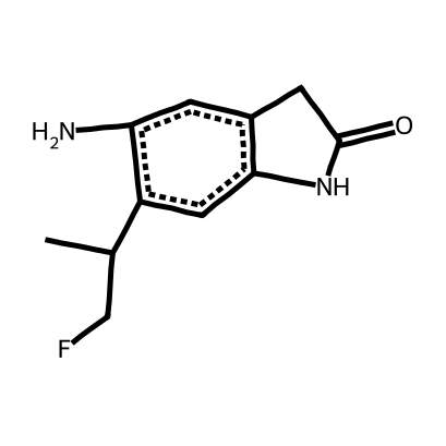 CC(CF)c1cc2c(cc1N)CC(=O)N2